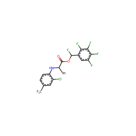 CC(C)C(Nc1ccc(C(F)(F)F)cc1Cl)C(=O)OC(F)c1cc(F)c(F)c(F)c1F